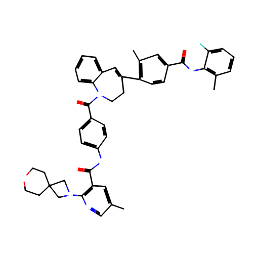 Cc1cnc(N2CC3(CCOCC3)C2)c(C(=O)Nc2ccc(C(=O)N3CCC(c4ccc(C(=O)Nc5c(C)cccc5F)cc4C)=Cc4ccccc43)cc2)c1